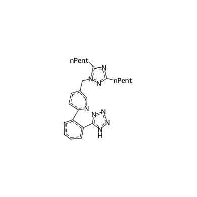 CCCCCc1nc(CCCCC)n(Cc2ccc(-c3ccccc3-c3nnn[nH]3)nc2)n1